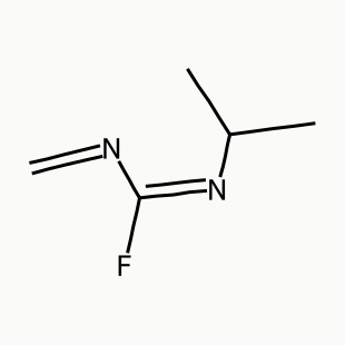 C=N/C(F)=N\C(C)C